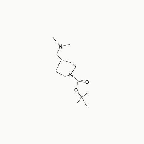 CN(C)CC1CCN(C(=O)OC(C)(C)C)CC1